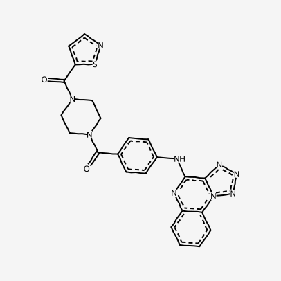 O=C(c1ccc(Nc2nc3ccccc3n3nnnc23)cc1)N1CCN(C(=O)c2ccns2)CC1